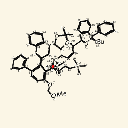 COCOc1ccc(-c2ccccc2)c(C(CC[C@@H]2OC(C)(C)O[C@@H]2C(/C=C\[C@@H](C)C(C)O[Si](c2ccccc2)(c2ccccc2)C(C)(C)C)O[Si](C)(C)C(C)(C)C)Sc2ccccc2)c1C(=O)OCC[Si](C)(C)C